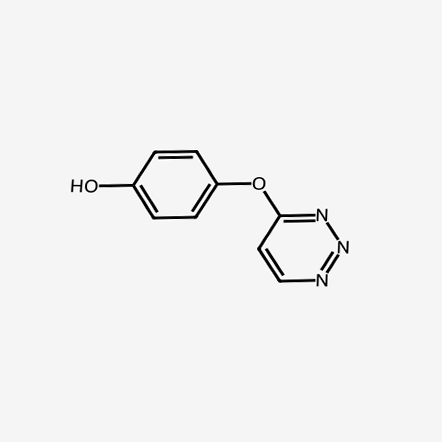 Oc1ccc(Oc2ccnnn2)cc1